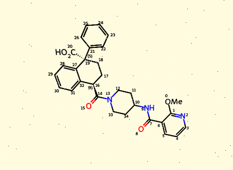 COc1ncccc1C(=O)NC1CCN(C(=O)[C@@H]2CC[C@](C(=O)O)(c3ccccc3)c3ccccc32)CC1